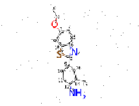 CCOc1ccc2nc(-c3ccc(N)c(C)c3)sc2c1